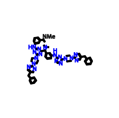 CNC(C)c1cccc(Nc2nc(C(c3cccc(Nc4ncnc(N5CCN(c6ncc(Cc7ccccc7)cn6)CC5)n4)c3)N(C)C)nc(N3CCN(c4ncc(Cc5ccccc5)cn4)CC3)n2)c1